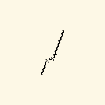 CCCCCCCCCCCCCCCC[N+](C)(C)CC[N+](C)(C)CCCCCCCC